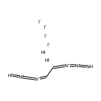 I.I.N=[N+]=[N+]=CC=[N+]=[N+]=N.[I-].[I-].[I-].[I-]